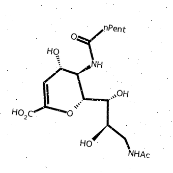 CCCCCC(=O)N[C@H]1[C@H]([C@H](O)[C@H](O)CNC(C)=O)OC(C(=O)O)=C[C@@H]1O